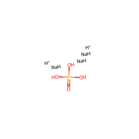 O=P(O)(O)O.[H+].[H+].[NaH].[NaH].[NaH]